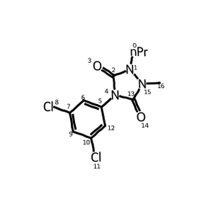 CCCn1c(=O)n(-c2cc(Cl)cc(Cl)c2)c(=O)n1C